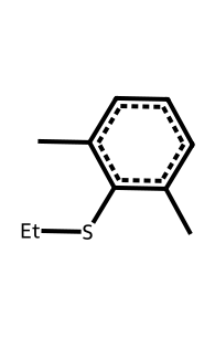 [CH2]CSc1c(C)cccc1C